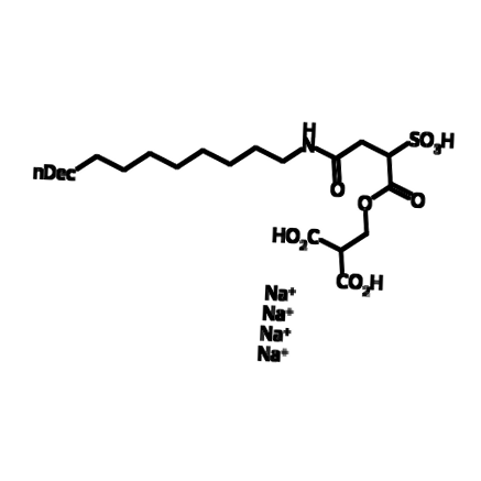 CCCCCCCCCCCCCCCCCCNC(=O)CC(C(=O)OCC(C(=O)O)C(=O)O)S(=O)(=O)O.[Na+].[Na+].[Na+].[Na+]